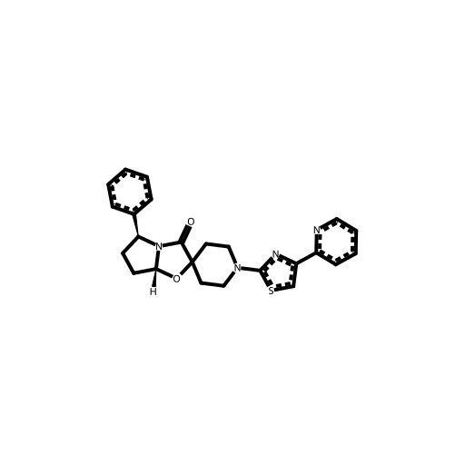 O=C1N2[C@@H](CC[C@H]2c2ccccc2)OC12CCN(c1nc(-c3ccccn3)cs1)CC2